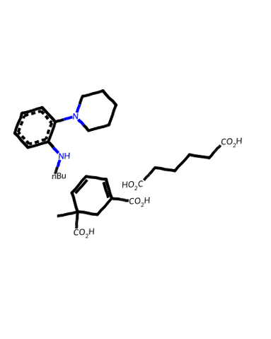 CC1(C(=O)O)C=CC=C(C(=O)O)C1.CCCCNc1ccccc1N1CCCCC1.O=C(O)CCCCC(=O)O